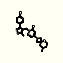 Cc1onc(-c2ccc(Cl)nc2)c1Cn1ncc(N2CC3(CC(C)CCO3)C2)cc1=O